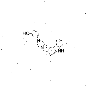 Oc1cccc(N2CCN(Cc3cc4c(cn3)[nH]c3ccccc34)CC2)c1